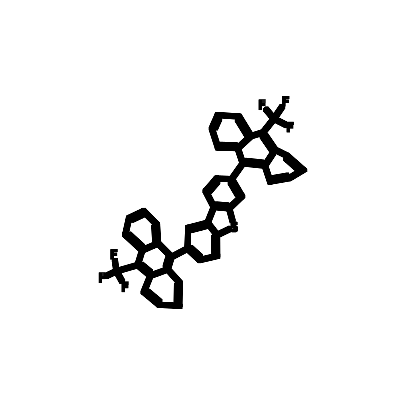 FC(F)(F)c1c2ccccc2c(-c2ccc3c(c2)sc2ccc(-c4c5ccccc5c(C(F)(F)F)c5ccccc45)cc23)c2ccccc12